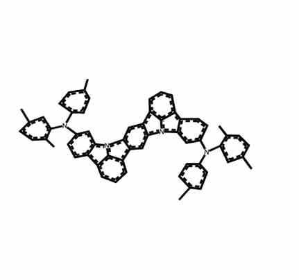 Cc1ccc(N(c2ccc3c4cccc5c6cc7c(cc6n(c3c2)c45)c2cccc3c4ccc(N(c5ccc(C)cc5)c5cc(C)ccc5C)cc4n7c32)c2cc(C)ccc2C)cc1